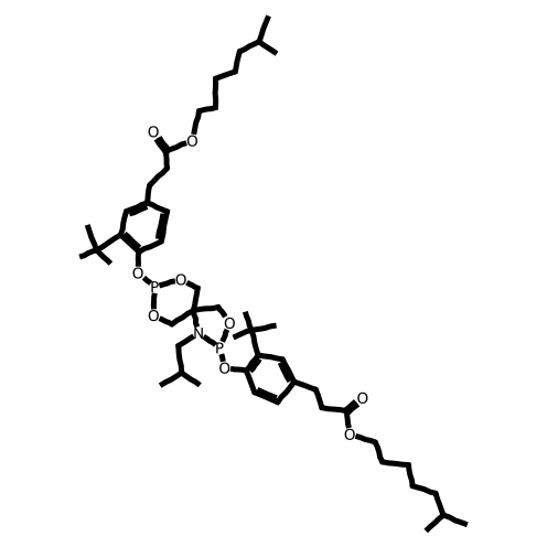 CC(C)CCCCCOC(=O)CCc1ccc(OP2OCC3(CO2)COP(Oc2ccc(CCC(=O)OCCCCCC(C)C)cc2C(C)(C)C)N3CC(C)C)c(C(C)(C)C)c1